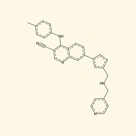 Cc1ccc(Nc2c(C#N)cnc3cc(-c4csc(CNCc5ccncc5)c4)ccc23)cc1